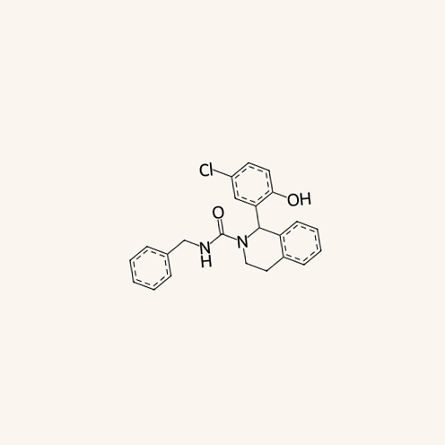 O=C(NCc1ccccc1)N1CCc2ccccc2C1c1cc(Cl)ccc1O